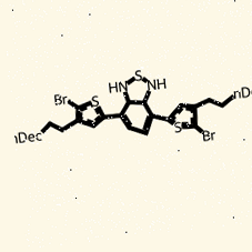 CCCCCCCCCCCCc1cc(C2=CC=C(c3cc(CCCCCCCCCCCC)c(Br)s3)C3NSNC23)sc1Br